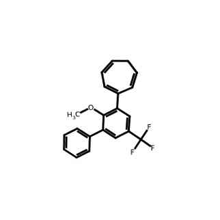 COc1c(C2=CC=CCC=C2)cc(C(F)(F)F)cc1-c1ccccc1